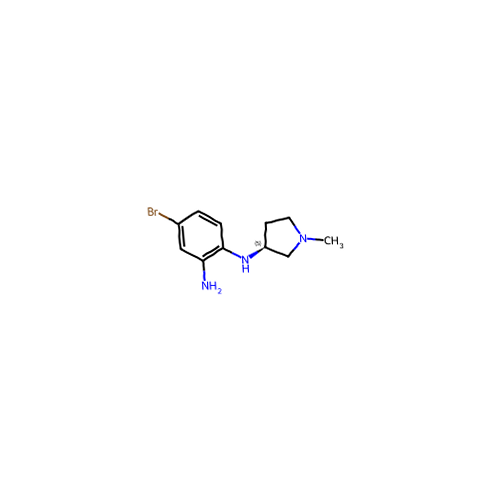 CN1CC[C@H](Nc2ccc(Br)cc2N)C1